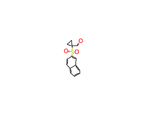 O=CC1(S(=O)(=O)c2ccc3ccccc3c2)CC1